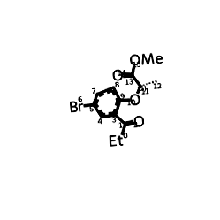 CCC(=O)c1cc(Br)ccc1O[C@@H](C)C(=O)OC